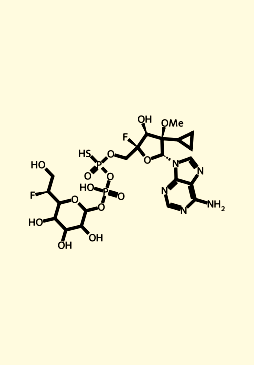 CO[C@@]1(C2CC2)[C@H](n2cnc3c(N)ncnc32)O[C@](F)(COP(=O)(S)OP(=O)(O)OC2OC([C@@H](F)CO)C(O)C(O)C2O)[C@H]1O